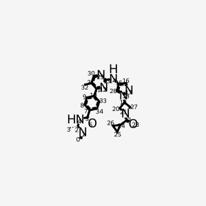 C=N[C@H](C)NC(=O)c1ccc(-c2nc(Nc3cnn(C4CN(C(=O)C5CC5)C4)c3)ncc2C)cc1